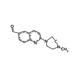 CN1CCN(c2ccc3cc(C=O)ccc3n2)CC1